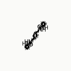 O=C(NCCCN1CCN(CCCNC(=O)Nc2ccccc2)CC1)Nc1ccccc1